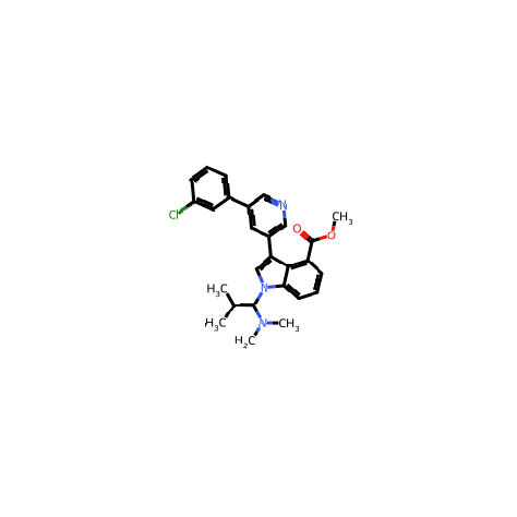 COC(=O)c1cccc2c1c(-c1cncc(-c3cccc(Cl)c3)c1)cn2C(C(C)C)N(C)C